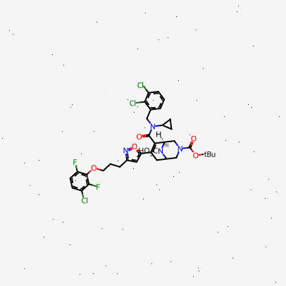 CC(C)(C)OC(=O)N1CC2CC(c3cc(CCCOc4c(F)ccc(Cl)c4F)no3)=C(C(=O)N(Cc3cccc(Cl)c3Cl)C3CC3)[C@@H](C1)N2C(=O)O